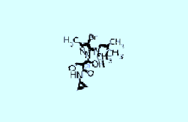 Cc1nn(/C(O)=C(\C=O)C(=O)NC2CC2)c(N(C)CC(C)C)c1Br